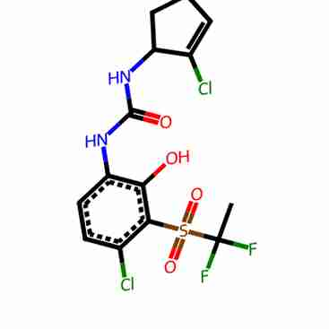 CC(F)(F)S(=O)(=O)c1c(Cl)ccc(NC(=O)NC2CCC=C2Cl)c1O